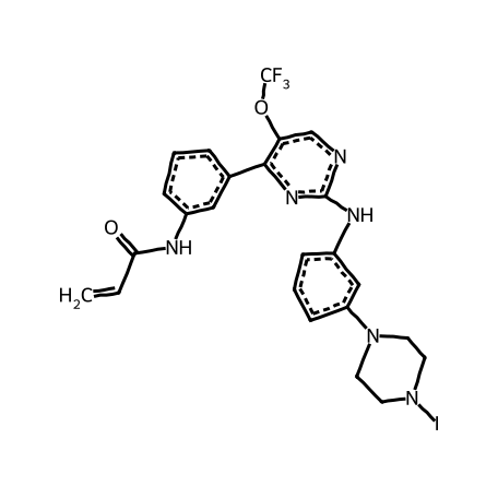 C=CC(=O)Nc1cccc(-c2nc(Nc3cccc(N4CCN(I)CC4)c3)ncc2OC(F)(F)F)c1